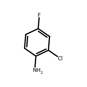 Nc1ccc(F)[c]c1Cl